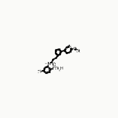 CCOc1ccc(-c2cccc(CCC(=O)Nc3cc(Cl)ccc3C(=O)O)c2)cn1